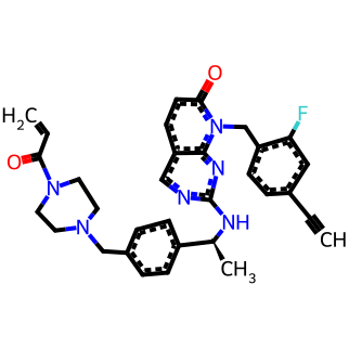 C#Cc1ccc(Cn2c(=O)ccc3cnc(N[C@@H](C)c4ccc(CN5CCN(C(=O)C=C)CC5)cc4)nc32)c(F)c1